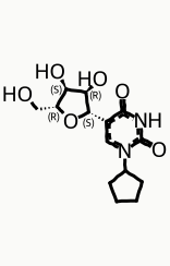 O=c1[nH]c(=O)n(C2CCCC2)cc1[C@@H]1O[C@H](CO)[C@@H](O)[C@H]1O